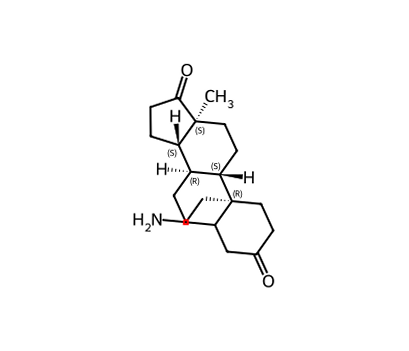 C[C@]12CC[C@H]3[C@@H](CCC4CC(=O)CC[C@@]43CCN)[C@@H]1CCC2=O